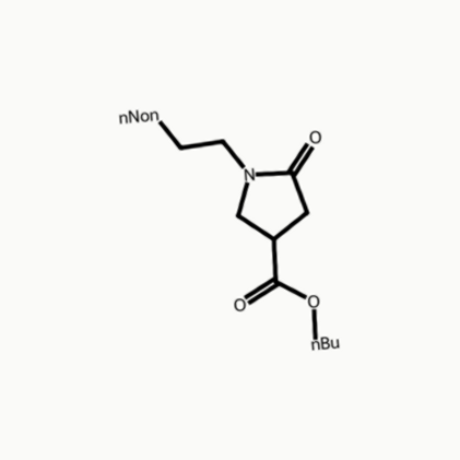 CCCCCCCCCCCN1CC(C(=O)OCCCC)CC1=O